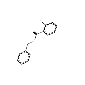 O=C(OCc1ccccc1)c1ccccc1F